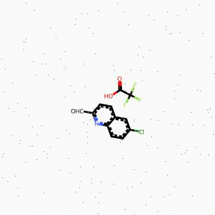 O=C(O)C(F)(F)F.O=Cc1ccc2cc(Cl)ccc2n1